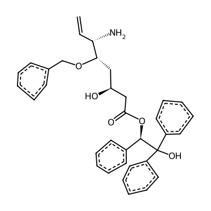 C=C[C@H](N)[C@H](C[C@H](O)CC(=O)O[C@H](c1ccccc1)C(O)(c1ccccc1)c1ccccc1)OCc1ccccc1